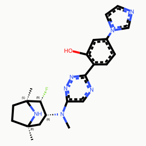 CN(c1cnc(-c2ccc(-n3ccnc3)cc2O)nn1)[C@@H]1C[C@@]2(C)CC[C@](C)(N2)[C@@H]1F